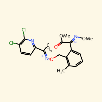 CO/N=C(/C(=O)OC)c1cccc(C)c1CO/N=C(\C)c1ccc(Cl)c(Cl)n1